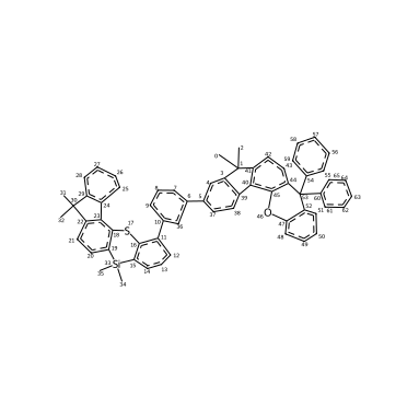 CC1(C)c2cc(-c3cccc(-c4cccc5c4Sc4c(ccc6c4-c4ccccc4C6(C)C)[Si]5(C)C)c3)ccc2-c2c1ccc1c2Oc2ccccc2C1(c1ccccc1)c1ccccc1